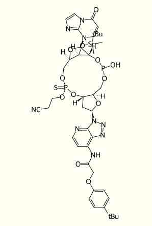 CC(C)(C)c1ccc(OCC(=O)Nc2ccnc3c2nnn3[C@H]2C[C@@H]3OP(=S)(OCCC#N)OC[C@H]4O[C@@H](n5ccc(=O)n6ccnc56)[C@H](OP(O)OC[C@H]3O2)[C@@H]4O[Si](C)(C)C(C)(C)C)cc1